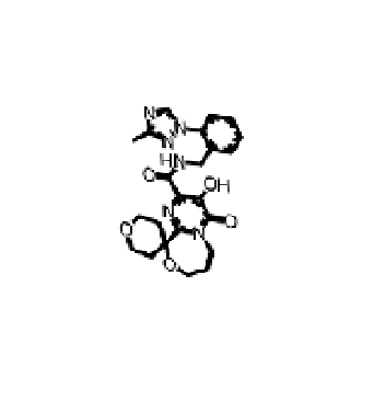 Cc1ncn(-c2ccccc2CNC(=O)c2nc3n(c(=O)c2O)CCCOC32CCOCC2)n1